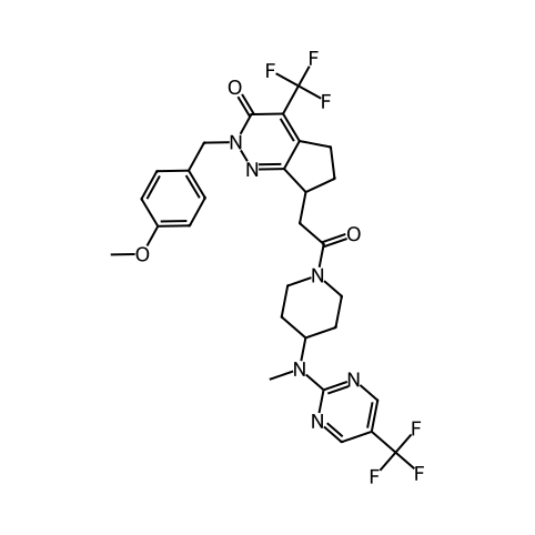 COc1ccc(Cn2nc3c(c(C(F)(F)F)c2=O)CCC3CC(=O)N2CCC(N(C)c3ncc(C(F)(F)F)cn3)CC2)cc1